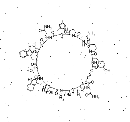 CCCC[C@H]1C(=O)N(C)[C@@H](CCCC)C(=O)N[C@@H](C)C(=O)N[C@H](C(=O)NCC(N)=O)CSCC(=O)N[C@@H](Cc2ccc(O)cc2)C(=O)N2CCCC[C@H]2C(=O)N[C@@H](CC(N)=O)C(=O)N2CCC[C@H]2C(=O)N[C@@H](Cc2cnc[nH]2)C(=O)N[C@@H](CCC(N)=O)C(=O)N2CCOC[C@H]2C(=O)N[C@@H](Cc2c[nH]c3ccccc23)C(=O)N[C@@H](CO)C(=O)N[C@@H](Cc2c[nH]c3ccccc23)C(=O)N1C